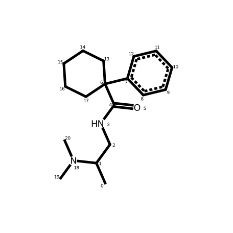 CC(CNC(=O)C1(c2ccccc2)CCCCC1)N(C)C